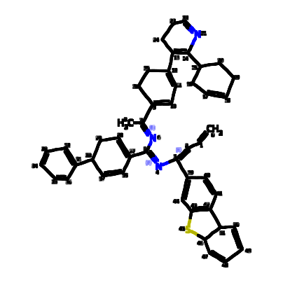 C=C/C=C(/N=C(\N=C(/C)C1=CC=C(C2=C(C3CC=CCC3)N=CCC2)CC1)C1=CCC(c2ccccc2)C=C1)c1ccc2c(c1)SC1C=CC=CC21